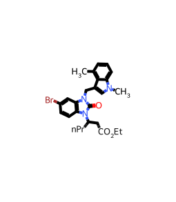 CCCC(CC(=O)OCC)n1c(=O)n(Cc2cn(C)c3cccc(C)c23)c2cc(Br)ccc21